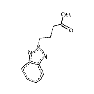 O=C(O)CCCn1nc2ccccc2n1